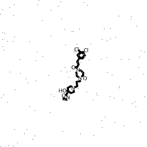 O=C(/C=C/c1ccc(Cl)c(Cl)c1)N1CCC(=O)N(CCCN2CCC(O)(c3ncco3)CC2)CC1